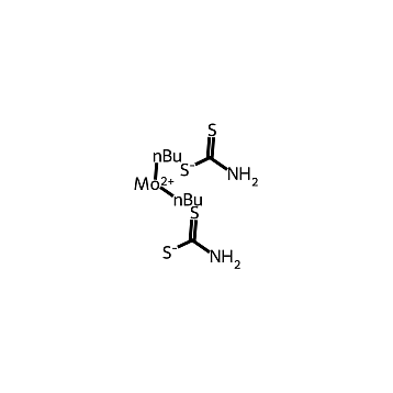 CCC[CH2][Mo+2][CH2]CCC.NC(=S)[S-].NC(=S)[S-]